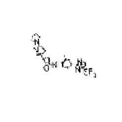 Cc1cc(-c2noc(C(F)(F)F)n2)ccc1CNC(=O)OCc1ccc(N2CCCC2)nc1